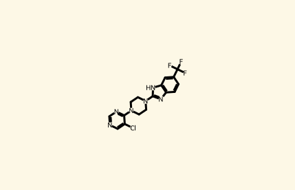 FC(F)(F)c1ccc2nc(N3CCN(c4ncncc4Cl)CC3)[nH]c2c1